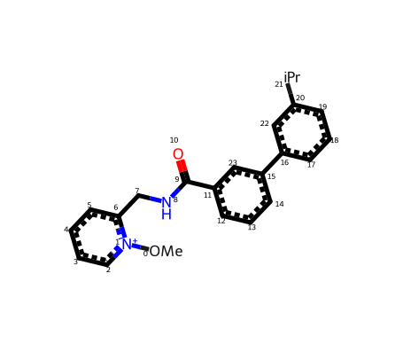 CO[n+]1ccccc1CNC(=O)c1cccc(-c2cccc(C(C)C)c2)c1